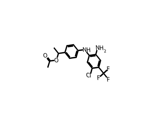 CC(=O)OC(C)c1ccc(Nc2cc(Cl)c(C(F)(F)F)cc2N)cc1